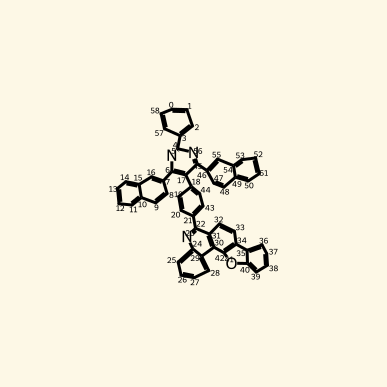 c1ccc(-c2nc(-c3ccc4ccccc4c3)c(-c3ccc(-c4nc5ccccc5c5c4ccc4c6ccccc6oc45)cc3)c(-c3ccc4ccccc4c3)n2)cc1